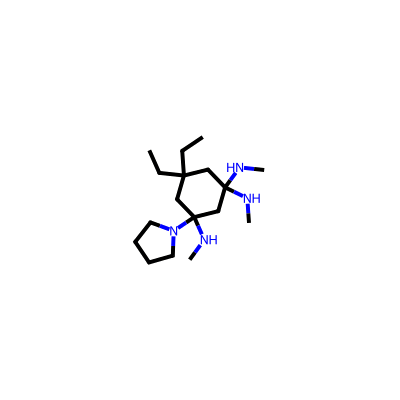 CCC1(CC)CC(NC)(NC)CC(NC)(N2CCCC2)C1